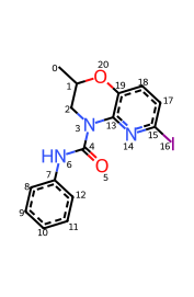 CC1CN(C(=O)Nc2ccccc2)c2nc(I)ccc2O1